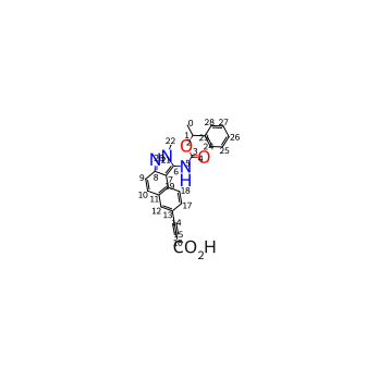 CC(OC(=O)Nc1c2c(ccc3cc(C#CC(=O)O)ccc32)nn1C)c1ccccc1